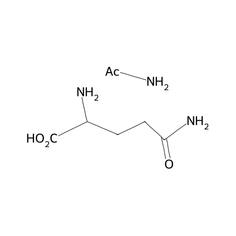 CC(N)=O.NC(=O)CCC(N)C(=O)O